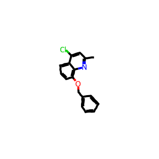 Cc1cc(Cl)c2cccc(OCc3ccccc3)c2n1